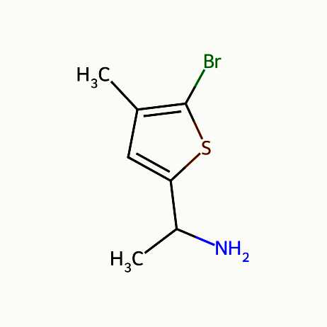 Cc1cc(C(C)N)sc1Br